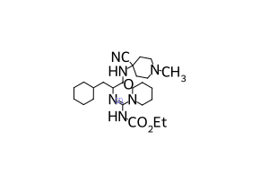 CCOC(=O)N/C(=N/C(CC1CCCCC1)C(=O)NC1(C#N)CCN(C)CC1)N1CCCCC1